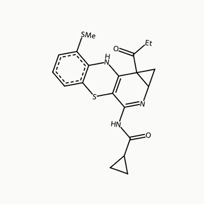 CCC(=O)C12CC1N=C(NC(=O)C1CC1)C1=C2Nc2c(SC)cccc2S1